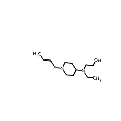 C/C=C/SN1CCC(N(CC)CCO)CC1